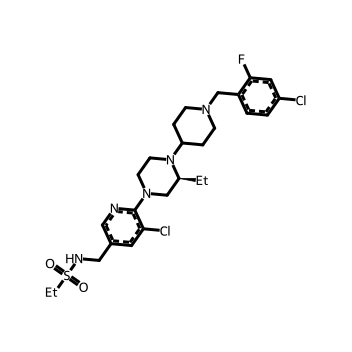 CC[C@H]1CN(c2ncc(CNS(=O)(=O)CC)cc2Cl)CCN1C1CCN(Cc2ccc(Cl)cc2F)CC1